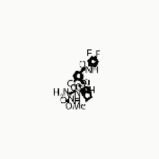 COC(=O)N[C@@H](N)C(=O)NCC1(O)C2CCC1CC(S(=O)(=O)c1cc(C(=O)Nc3ccc(F)c(F)c3)ccc1Cl)C2